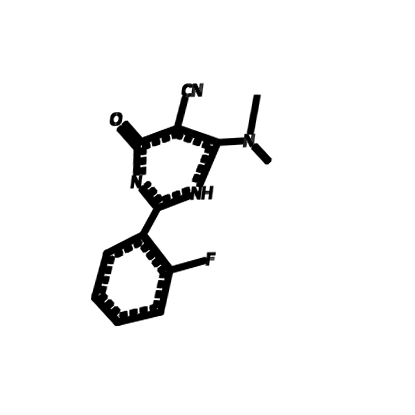 CN(C)c1[nH]c(-c2ccccc2F)nc(=O)c1C#N